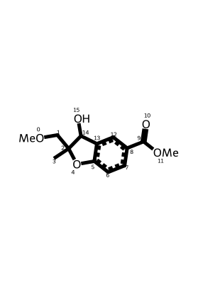 COCC1(C)Oc2ccc(C(=O)OC)cc2C1O